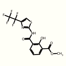 COC(=O)c1cccc(C(=O)Nc2nc(C(F)(F)C(F)(F)F)cs2)c1O